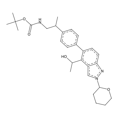 CC(O)c1c(-c2ccc(C(C)CNC(=O)OC(C)(C)C)cc2)ccc2nn(C3CCCCO3)cc12